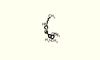 CCCCCCNC1CCN(c2cc(-c3ccc4c(c3)C(C)(C)CCC4(C)C)cs2)CC1